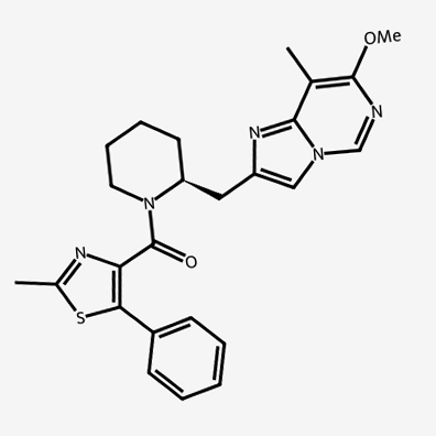 COc1ncn2cc(C[C@@H]3CCCCN3C(=O)c3nc(C)sc3-c3ccccc3)nc2c1C